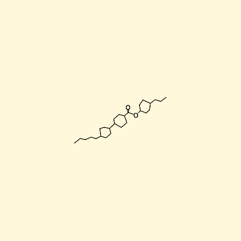 CCCCCC1CCC(C2CCC(C(=O)OC3CCC(CCC)CC3)CC2)CC1